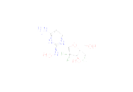 Nc1ccn([C@@H]2O[C@@](CO)(CCl)[C@@H](O)C2(F)F)/c(=N/O)n1